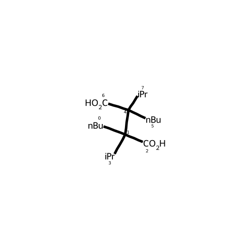 CCCCC(C(=O)O)(C(C)C)C(CCCC)(C(=O)O)C(C)C